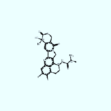 CC[C@@]1(O)C(=O)OCc2c1cc1n(c2=O)Cc2c-1nc1cc(F)c(C)c3c1c2[C@@H](NC(=O)[C@H](C)N)CC3